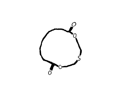 O=C1CCCCCCCC(=O)OCCSCCO1